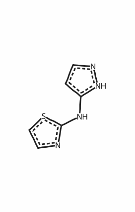 c1cc(Nc2nccs2)[nH]n1